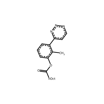 CCCCCCCCC(=O)Oc1cccc(-c2ccnnn2)c1C